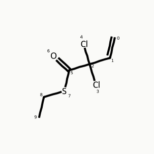 C=CC(Cl)(Cl)C(=O)SCC